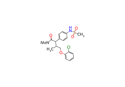 CNC(=O)C(c1ccc(NS(C)(=O)=O)cc1)C(C)COc1ccccc1Cl